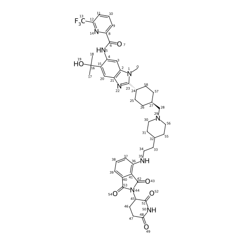 Cn1c2cc(NC(=O)c3cccc(C(F)(F)F)n3)c(C(C)(C)O)cc2nc1[C@H]1CC[C@H](CN2CCC(CCNc3cccc4c3C(=O)N(C3CCC(=O)NC3=O)C4=O)CC2)CC1